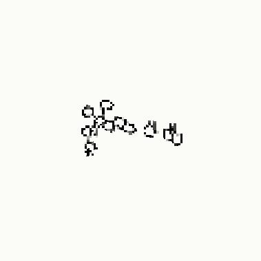 c1ccc(-c2c(-c3ccccc3)n(-c3cccc(-c4ccncc4)n3)c3ccc4c5ccc(-c6ccc(-c7cnc8ccccc8c7)nc6)cc5ccc4c23)cc1